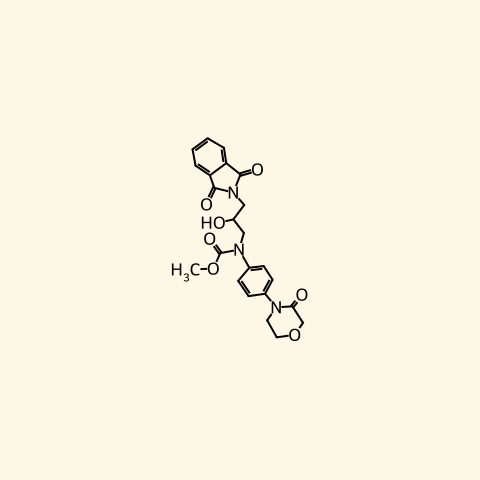 COC(=O)N(CC(O)CN1C(=O)c2ccccc2C1=O)c1ccc(N2CCOCC2=O)cc1